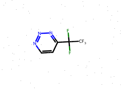 FC(F)(F)C(F)(F)c1ccnnn1